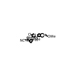 COCCN1CCc2ccc(Nc3ncc(Cl)c(Nc4c(OC)cccc4C(=O)NCC#N)n3)cc2CC1